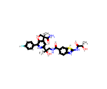 C[C@H](O)C(=O)Nc1nc2ccc(C(=O)NCC(O)(c3cc4c(c(-c5ccc(F)cc5)n3)OC[C@]4(C)C(N)=O)C(F)(F)F)cc2s1